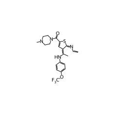 C=C/N=C1/SC(C(=O)N2CCN(C)CC2)=C/C1=C(/C)Nc1ccc(OC(F)(F)F)cc1